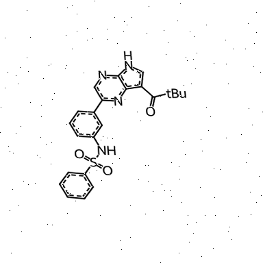 CC(C)(C)C(=O)c1c[nH]c2ncc(-c3cccc(NS(=O)(=O)c4ccccc4)c3)nc12